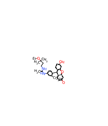 C=C(NCCC(C)(C)OCC)Nc1ccc(-c2c3ccc(=O)cc-3oc3cc(O)ccc23)c(C(=O)O)c1